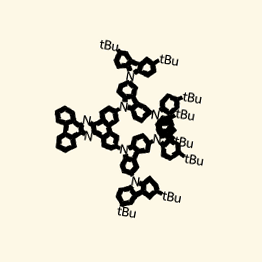 CC(C)(C)c1ccc2c(c1)c1cc(C(C)(C)C)ccc1n2-c1ccc2c(c1)c1cc(-n3c4ccc(C(C)(C)C)cc4c4cc(C(C)(C)C)ccc43)ccc1n2-c1ccc2c(c1)c1cc(-n3c4ccc(-n5c6ccc(C(C)(C)C)cc6c6cc(C(C)(C)C)ccc65)cc4c4cc(-n5c6ccc(C(C)(C)C)cc6c6cc(C(C)(C)C)ccc65)ccc43)ccc1c1nc3c4ccccc4c4ccccc4c3nc21